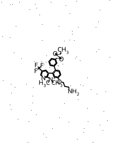 CCS(=O)(=O)c1cccc(-c2ccc(OCCCN)c3c2-c2cc(C(F)(F)F)cnc2[N+]3(C)C)c1